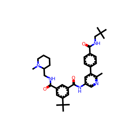 Cc1ncc(NC(=O)c2cc(C(=O)NCC3CCCCN3C)cc(C(C)(C)C)c2)cc1-c1ccc(C(=O)NCC(C)(C)C)cc1